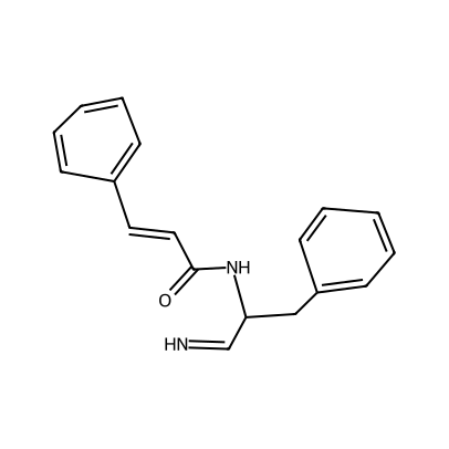 N=CC(Cc1ccccc1)NC(=O)/C=C/c1ccccc1